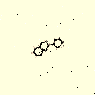 c1cncc(-c2ncc3ccccc3n2)c1